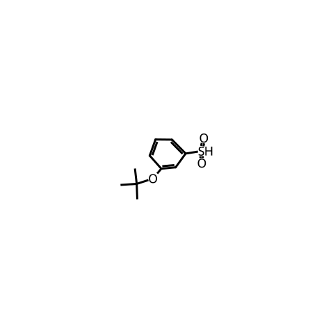 CC(C)(C)Oc1cccc([SH](=O)=O)c1